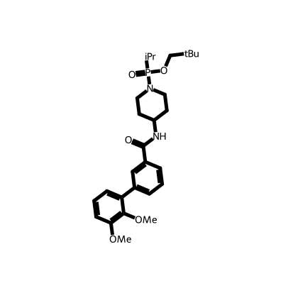 COc1cccc(-c2cccc(C(=O)NC3CCN(P(=O)(OCC(C)(C)C)C(C)C)CC3)c2)c1OC